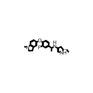 CC[C@H]1CC(NC(C)c2ccc(Oc3ccc4c(c3)CCN4C)c(F)c2)=CN1